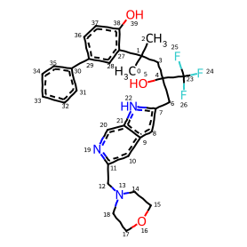 CC(C)(CC(O)(Cc1cc2cc(CN3CCOCC3)ncc2[nH]1)C(F)(F)F)c1cc(-c2ccccc2)ccc1O